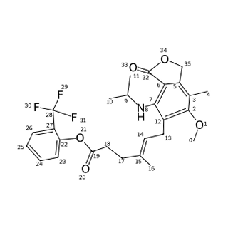 COc1c(C)c2c(c(NC(C)C)c1C/C=C(\C)CCC(=O)Oc1ccccc1C(F)(F)F)C(=O)OC2